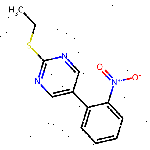 CCSc1ncc(-c2ccccc2[N+](=O)[O-])cn1